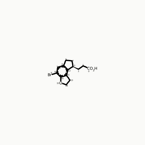 O=C(O)CC[C@@H]1CCc2cc(Br)c3c(c21)CCO3